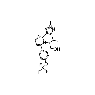 CC(C)[C@@H](CO)N1C(c2ccc(OC(F)(F)F)cc2)=CC=NC1c1cnn(C)c1